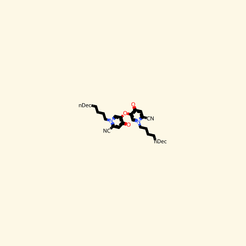 CCCCCCCCCCCCCCn1cc(Oc2cn(CCCCCCCCCCCCCC)c(C#N)cc2=O)c(=O)cc1C#N